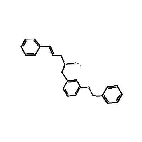 CN(C/C=C/c1ccccc1)Cc1cccc(OCc2ccccc2)c1